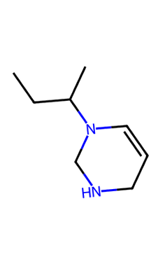 CCC(C)N1C=CCNC1